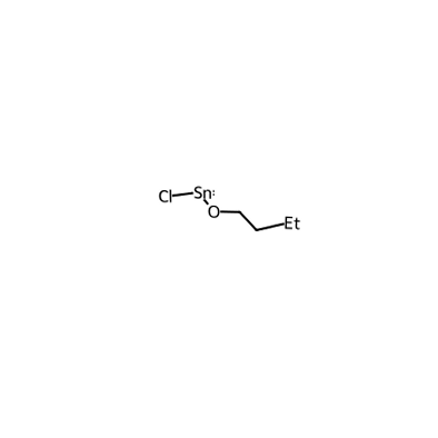 CCCC[O][Sn][Cl]